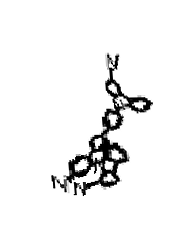 N#Cc1ccc(-c2ccc(-c3ccc(-n4c5ccccc5c5cc(C#N)ccc54)cc3)cc2)c(-n2c3ccccc3c3cccc(C#N)c32)c1